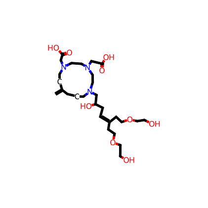 C=C1CCCN(CC(O)CC=C(CCOCCO)CCOCCO)CCN(CC(=O)O)CCN(CC(=O)O)CC1